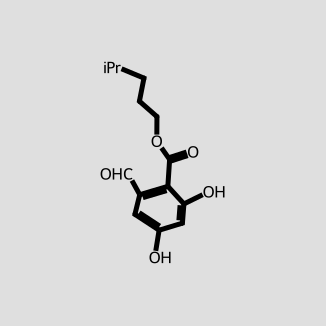 CC(C)CCCOC(=O)c1c(O)cc(O)cc1C=O